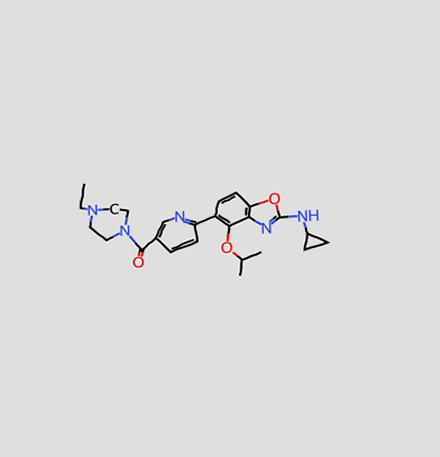 CCN1CCN(C(=O)c2ccc(-c3ccc4oc(NC5CC5)nc4c3OC(C)C)nc2)CC1